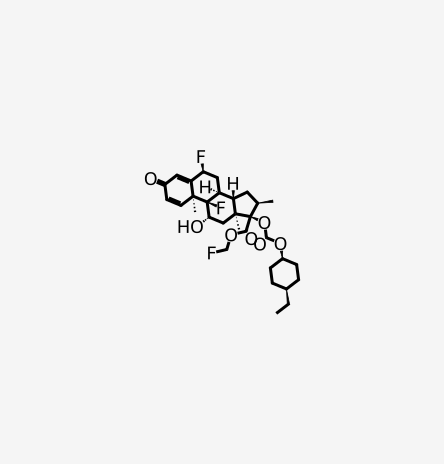 CC[C@H]1CC[C@@H](OC(=O)O[C@]2(C(=O)OCF)[C@H](C)C[C@H]3[C@@H]4C[C@H](F)C5=CC(=O)C=C[C@]5(C)[C@@]4(F)[C@@H](O)C[C@@]32C)CC1